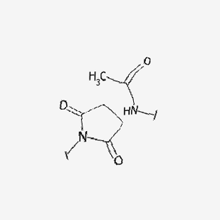 CC(=O)NI.O=C1CCC(=O)N1I